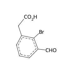 O=Cc1cccc(CC(=O)O)c1Br